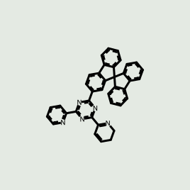 C1=CC(c2nc(-c3ccc4c(c3)C3(c5ccccc5-c5ccccc53)c3ccccc3-4)nc(-c3ccccn3)n2)=NCC1